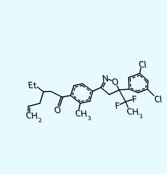 C=CCC(CC)CC(=O)c1ccc(C2=NOC(c3cc(Cl)cc(Cl)c3)(C(C)(F)F)C2)cc1C